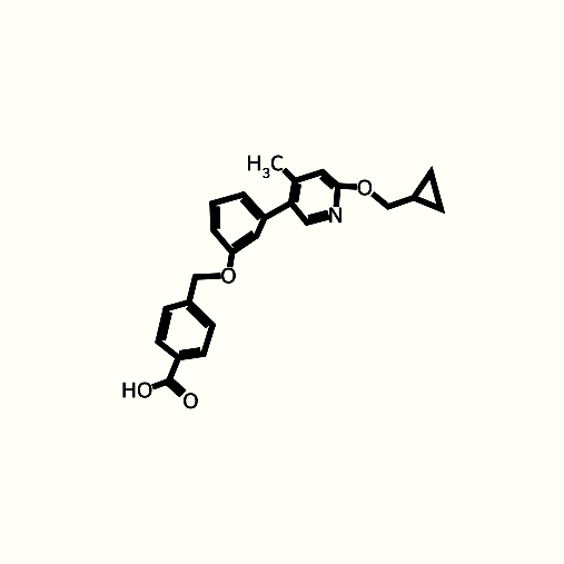 Cc1cc(OCC2CC2)ncc1-c1cccc(OCc2ccc(C(=O)O)cc2)c1